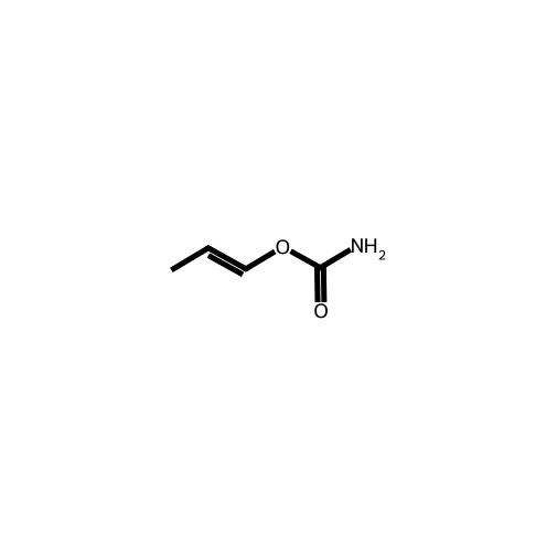 CC=COC(N)=O